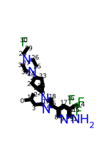 CC(C)Cc1nc(-c2cnc(N)c(C(F)(F)F)c2)cn1C1C2CC(N3CCN(CCF)CC3)CC21